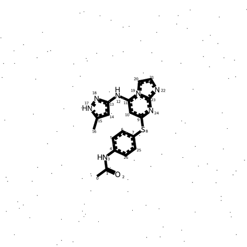 CC(=O)Nc1ccc(Sc2cc(Nc3cc(C)[nH]n3)n3ccnc3n2)cc1